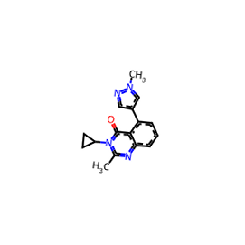 Cc1nc2cccc(-c3cnn(C)c3)c2c(=O)n1C1CC1